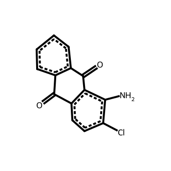 Nc1c(Cl)ccc2c1C(=O)c1ccccc1C2=O